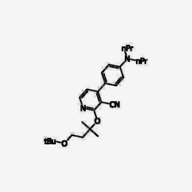 CCCN(CCC)c1ccc(-c2ccnc(OC(C)(C)CCOC(C)(C)C)c2C#N)cc1